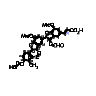 COc1cc(/C=C/C(=O)O)cc2c1OC(c1cc(OC)c3c(c1)C(OC=O)C(c1ccc(OOO)c(C)c1)O3)C2OC=O